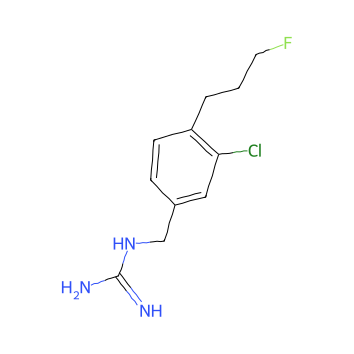 N=C(N)NCc1ccc(CCCF)c(Cl)c1